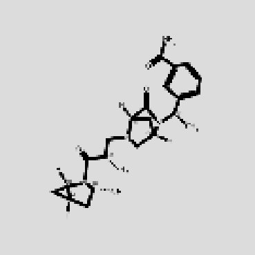 C[C@H](c1cccc(C(N)=O)c1)N1C(=O)[C@@H]2C[C@H]1CN2C[C@H](N)C(=O)N1[C@H](C#N)C[C@@H]2C[C@@H]21